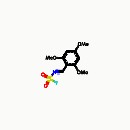 COc1cc(OC)c(/C=N/S(=O)(=O)F)c(OC)c1